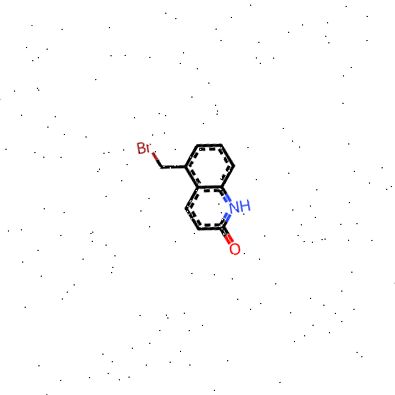 O=c1ccc2c(CBr)cccc2[nH]1